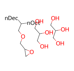 CCCCCCCCCCC(CCCCCCCC)COCC1CO1.OCC(O)CO.OCC(O)CO